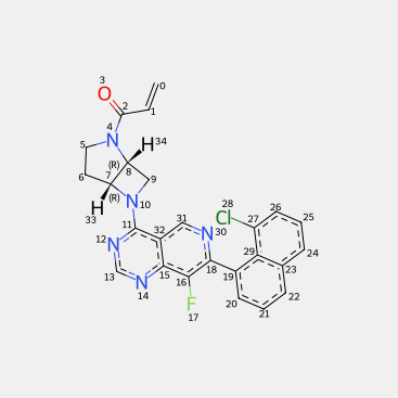 C=CC(=O)N1CC[C@@H]2[C@H]1CN2c1ncnc2c(F)c(-c3cccc4cccc(Cl)c34)ncc12